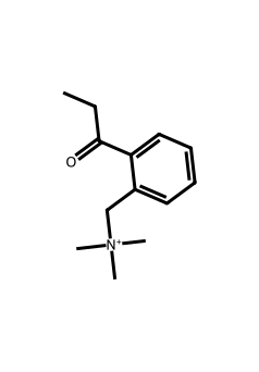 CCC(=O)c1ccccc1C[N+](C)(C)C